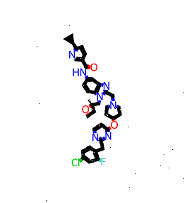 C[C@@]1(Cn2c(CN3CCC(Oc4ccnc(Cc5ccc(Cl)cc5F)n4)CC3)nc3cc(NC(=O)c4ccc(C5CC5)nc4)ccc32)CCO1